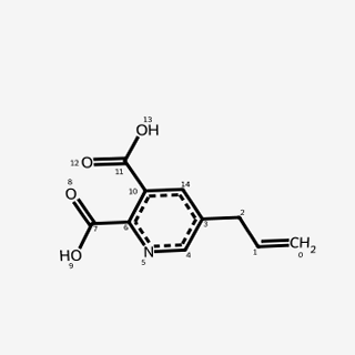 C=CCc1cnc(C(=O)O)c(C(=O)O)c1